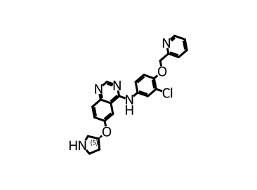 Clc1cc(Nc2ncnc3ccc(O[C@H]4CCNC4)cc23)ccc1OCc1ccccn1